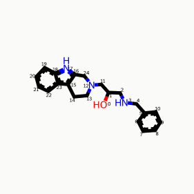 OC(CNCc1ccccc1)CN1CCc2c([nH]c3ccccc23)C1